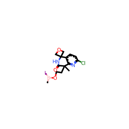 CB(I)OCCC1(C)C(=O)NC2(COC2)c2ccc(Cl)nc21